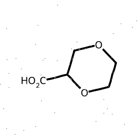 O=C(O)C1COCCO1